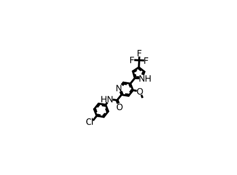 COc1cc(C(=O)Nc2ccc(Cl)cc2)ncc1-c1cc(C(F)(F)F)c[nH]1